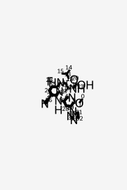 COc1ncc(Nc2nc(N[C@H](CC(C)C)[C@H](C)NC(=O)O)c(F)cc2C#N)cc1-n1ccnn1